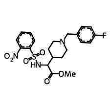 COC(=O)C(NS(=O)(=O)c1ccccc1[N+](=O)[O-])C1CCN(Cc2ccc(F)cc2)CC1